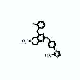 Cc1nccn1-c1ccc(Nc2nc3c(c(Cc4ccccc4F)n2)CN(C(=O)O)CC3)cc1